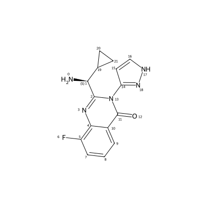 N[C@H](c1nc2c(F)cccc2c(=O)n1-c1cc[nH]n1)C1CC1